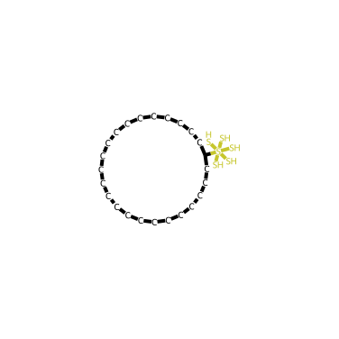 SS(S)(S)(S)(S)C1CCCCCCCCCCCCCCCCCCCCCCC1